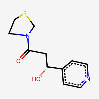 O=C(C[C@@H](O)c1ccncc1)N1CCSC1